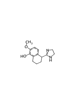 COc1ccc2c(c1O)CCCC2C1=NCCN1